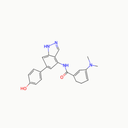 CN(C)C1=CCCC(C(=O)Nc2cc(-c3ccc(O)cc3)cc3[nH]ncc23)=C1